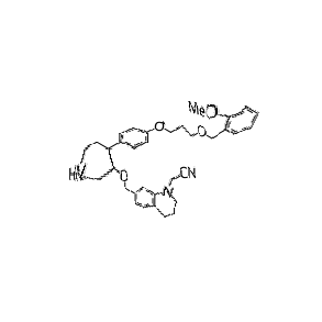 COc1ccccc1COCCCOc1ccc(C2CCNCC2OCc2ccc3c(c2)N(CC#N)CCC3)cc1